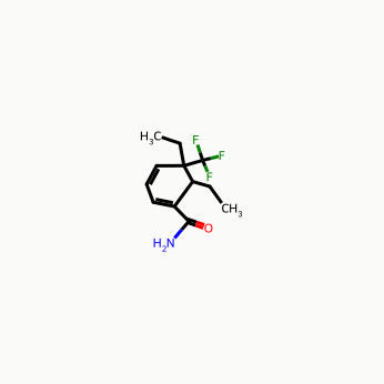 CCC1C(C(N)=O)=CC=CC1(CC)C(F)(F)F